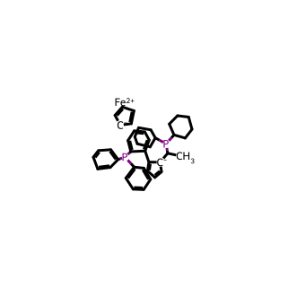 CC([c-]1cccc1-c1ccccc1P(c1ccccc1)c1ccccc1)P(C1CCCCC1)C1CCCCC1.[Fe+2].c1cc[cH-]c1